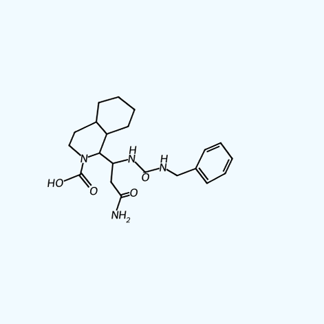 NC(=O)CC(NC(=O)NCc1ccccc1)C1C2CCCCC2CCN1C(=O)O